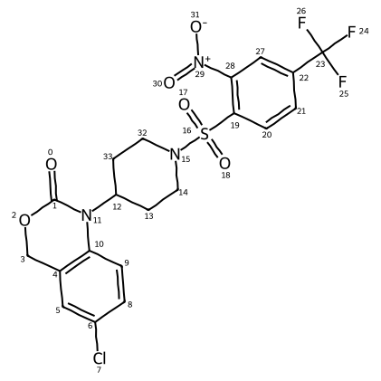 O=C1OCc2cc(Cl)ccc2N1C1CCN(S(=O)(=O)c2ccc(C(F)(F)F)cc2[N+](=O)[O-])CC1